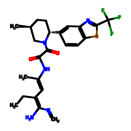 C=N/C(N)=C(\C=C(/C)NC(=O)C(=O)N1C[C@@H](C)CC[C@@H]1c1ccc2sc(C(F)(F)F)nc2c1)CC